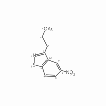 CC(=O)OCCc1nsc2ccc([N+](=O)[O-])cc12